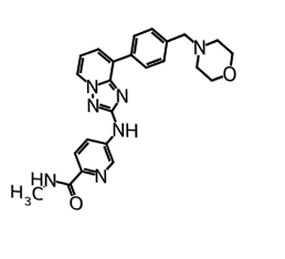 CNC(=O)c1ccc(Nc2nc3c(-c4ccc(CN5CCOCC5)cc4)cccn3n2)cn1